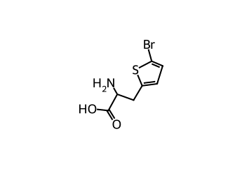 NC(Cc1ccc(Br)s1)C(=O)O